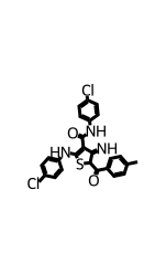 Cc1ccc(C(=O)C2SC(Nc3ccc(Cl)cc3)=C(C(=O)Nc3ccc(Cl)cc3)C2=N)cc1